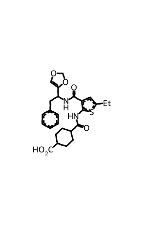 CCc1cc(C(=O)NC(Cc2ccccc2)C2=COCO2)c(NC(=O)C2CCC(C(=O)O)CC2)s1